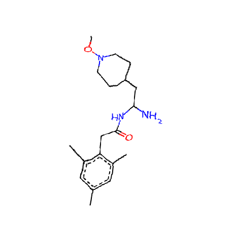 CON1CCC(CC(N)NC(=O)Cc2c(C)cc(C)cc2C)CC1